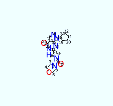 O=C(N1CCOCC1)N1CC(c2nc3c(cnn3C3CCCCC3)c(=O)[nH]2)C1